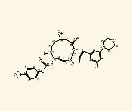 C/C(=C\c1cc(F)cc(N2CCOCC2)c1)[C@H]1OC(=O)C[C@H](O)CC[C@H](C)[C@@H](OC(=O)Oc2ccc([N+](=O)[O-])cc2)/C=C/[C@@H]1C